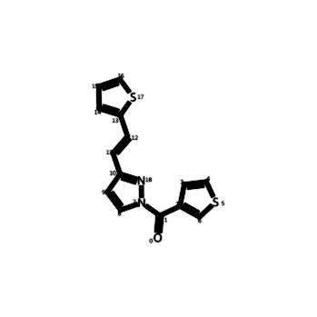 O=C(c1ccsc1)n1ccc(C=Cc2cccs2)n1